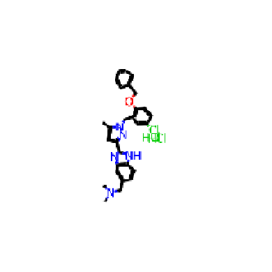 Cc1cc(-c2nc3cc(CN(C)C)ccc3[nH]2)nn1Cc1cc(Cl)ccc1OCc1ccccc1.Cl.Cl